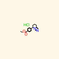 CCOC(=O)c1ccc(C2CCCc3cncn32)cc1.Cl